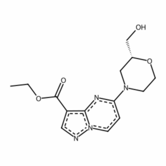 CCOC(=O)c1cnn2ccc(N3CCO[C@@H](CO)C3)nc12